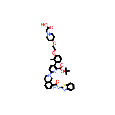 Cc1c(OCCOC2CCN(CC(=O)O)CC2)cccc1-c1ccc(N2CCc3cccc(C(=O)Nc4nc5ccccc5s4)c3C2)nc1C(=O)OC(C)(C)C